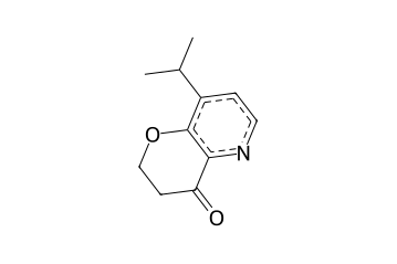 CC(C)c1ccnc2c1OCCC2=O